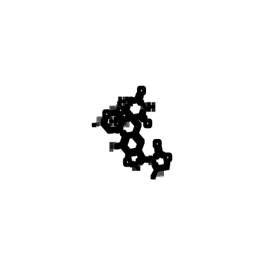 C[C@@H]1COC(=O)N1c1noc2c(F)c3c(cc12)CC1(C(=O)NC(=O)NC1=O)[C@@H]1[C@@H](C)O[C@@H](C)CN31